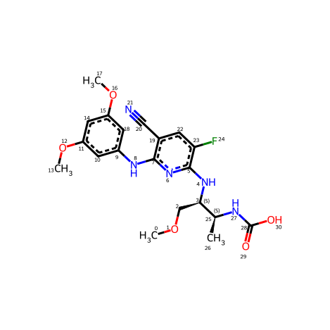 COC[C@@H](Nc1nc(Nc2cc(OC)cc(OC)c2)c(C#N)cc1F)[C@H](C)NC(=O)O